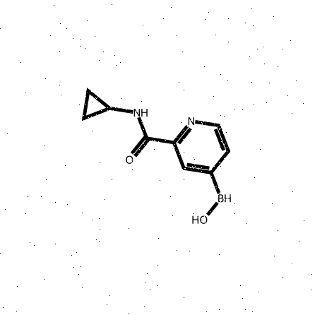 O=C(NC1CC1)c1cc(BO)ccn1